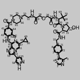 Cc1ncsc1-c1ccc(CNC(=O)[C@@H]2C[C@@H](O)CN2C(=O)[C@@H](NC(=O)COCC(=O)NCCN2CCN(C(=O)c3ccc(Nc4nc(C5CC5)cn5c(-c6cn[nH]c6)cnc45)c(F)c3)CC2)C(C)(C)C)cc1